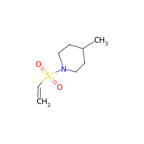 C=CS(=O)(=O)N1CCC(C)CC1